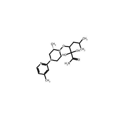 Cc1ccnc(N2CCN(OC(CC(C)C)C(O)(O)C(N)=O)[C@@H](C)C2)c1